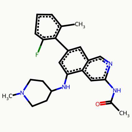 CC(=O)Nc1cc2c(NC3CCN(C)CC3)cc(-c3c(C)cccc3F)cc2cn1